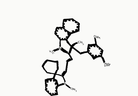 COc1cc(CC2(C)C(/C=C/C=C3/N(C)c4ccccc4C34CCCCC4)=[N+](C)c3ccc4ccccc4c32)cc(OC)c1